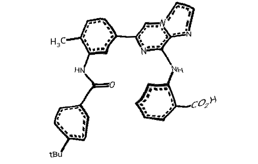 Cc1ccc(-c2cn3ccnc3c(Nc3ccccc3C(=O)O)n2)cc1NC(=O)c1ccc(C(C)(C)C)cc1